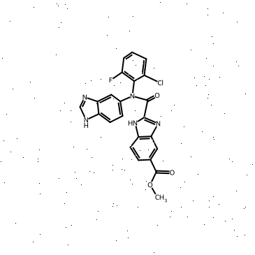 COC(=O)c1ccc2[nH]c(C(=O)N(c3ccc4[nH]cnc4c3)c3c(F)cccc3Cl)nc2c1